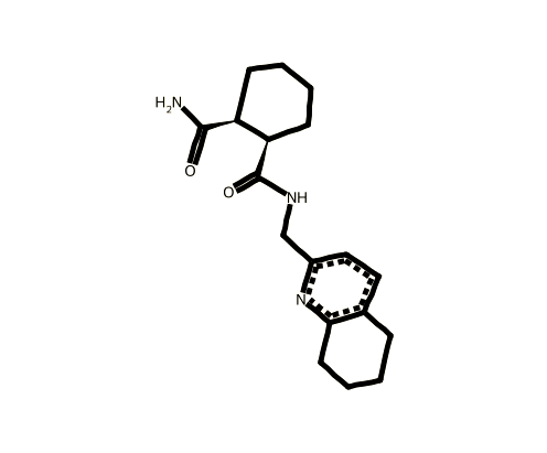 NC(=O)[C@H]1CCCC[C@H]1C(=O)NCc1ccc2c(n1)CCCC2